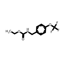 CCOC(=O)NCc1ccc(OC(F)(F)F)cc1